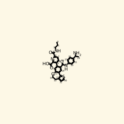 CCCNC(=O)c1ccc(-c2cc3c(cc2C(=O)Nc2ccc(C(C)N)cc2)-c2sccc2CCO3)c(C(=O)O)n1